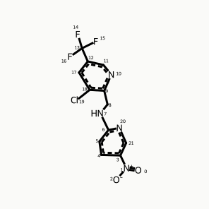 O=[N+]([O-])c1ccc(NCc2ncc(C(F)(F)F)cc2Cl)nc1